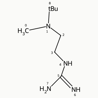 CN(CCNC(=N)N)C(C)(C)C